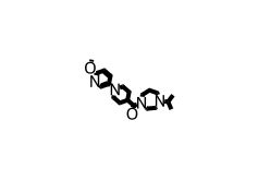 COc1ccc(N2CCC(C(=O)N3CCCN(C(C)C)CC3)CC2)cn1